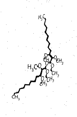 CCCCCCCCCCC(OC)=C(OC)C(OCC)OC(OCC)C(OC)=C(CCCCCCCCCC)OC